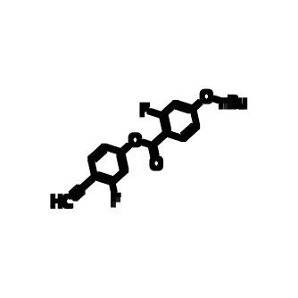 C#Cc1ccc(OC(=O)c2ccc(OCCCC)cc2F)cc1F